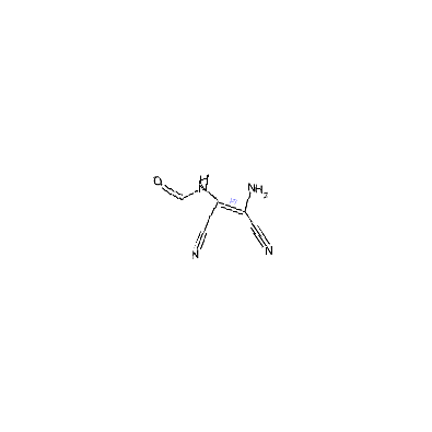 N#C/C(N)=C(\C#N)NC=O